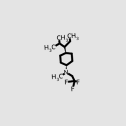 CCC(C(C)C)[C@H]1CC[C@H](N(C)CC(F)(F)F)CC1